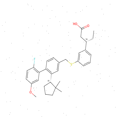 CC[C@@H](CC(=O)O)c1cccc(SCc2ccc(-c3cc(OC)ccc3F)c([C@H]3CCCC3(C)C)c2)c1